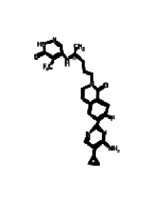 C[C@@H](CCCn1ccc2cc(-c3ncc(C4CC4)c(N)n3)c(F)cc2c1=O)Nc1cn[nH]c(=O)c1C(F)(F)F